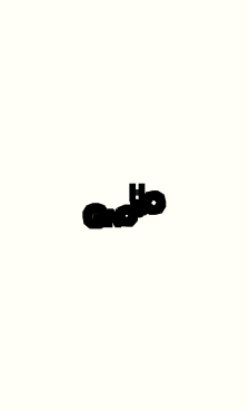 B(CC1CCCCCCC1)C1CCCC(NCC2CCCCCCCC2)CC1